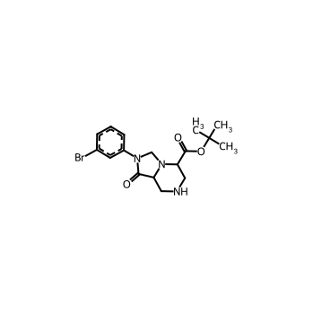 CC(C)(C)OC(=O)C1CNCC2C(=O)N(c3cccc(Br)c3)CN12